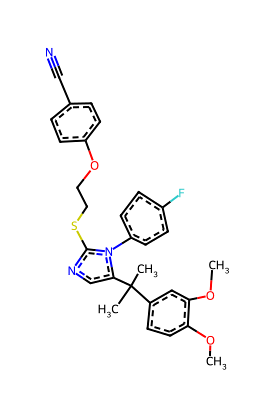 COc1ccc(C(C)(C)c2cnc(SCCOc3ccc(C#N)cc3)n2-c2ccc(F)cc2)cc1OC